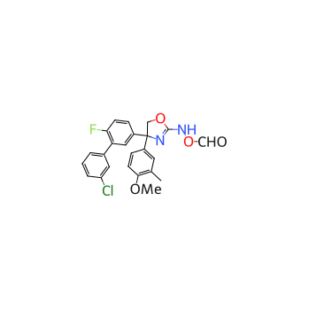 COc1ccc(C2(c3ccc(F)c(-c4cccc(Cl)c4)c3)COC(NOC=O)=N2)cc1C